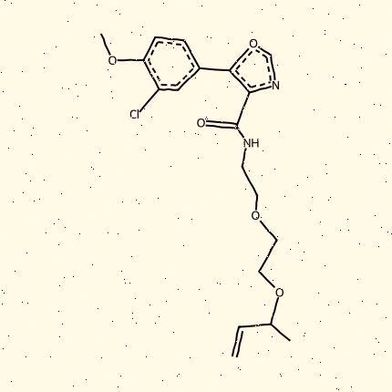 C=CC(C)OCCOCCNC(=O)c1ncoc1-c1ccc(OC)c(Cl)c1